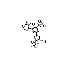 C[C@@H]1COC[C@H]2COc3c(nc(-c4cc(O)n(S(=O)(=O)N(C)C)n4)nc3C(C)(C)S(C)(=O)=O)N21